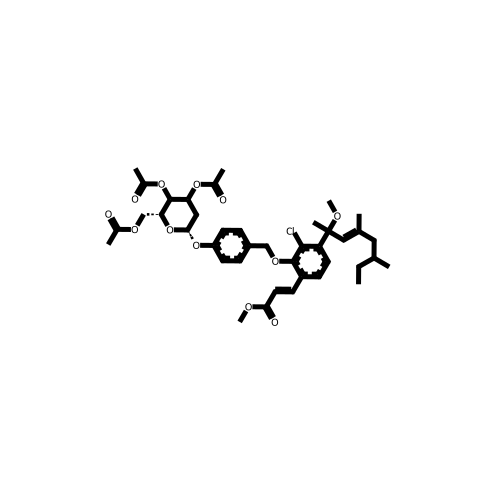 CCC(C)C/C(C)=C/C(C)(OC)c1ccc(/C=C/C(=O)OC)c(OCc2ccc(O[C@H]3CC(OC(C)=O)C(OC(C)=O)[C@@H](COC(C)=O)O3)cc2)c1Cl